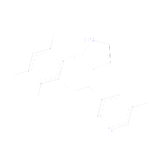 Fc1cncc(C(Oc2c(Cl)c(F)cc(F)c2Cl)[C@H]2CCNC2)c1